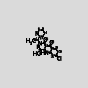 CC(c1ccccn1)n1nc(O)c2[nH]c3cc(Cl)ccc3c(=O)c2c1=O